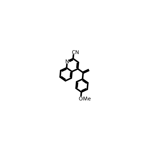 C=C(c1ccc(OC)cc1)c1cc(C#N)nc2ccccc12